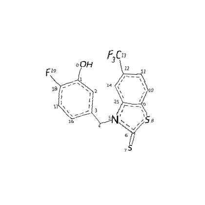 Oc1cc(Cn2c(=S)sc3ccc(C(F)(F)F)cc32)ccc1F